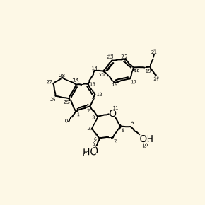 Cc1c(C2CC(O)CC(CO)O2)cc(Cc2ccc(C(C)C)cc2)c2c1CCC2